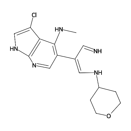 CNc1c(/C(C=N)=C/NC2CCOCC2)cnc2[nH]cc(Cl)c12